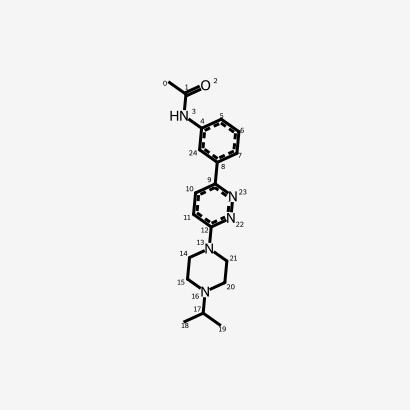 CC(=O)Nc1cccc(-c2ccc(N3CCN(C(C)C)CC3)nn2)c1